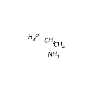 C.C.N.P